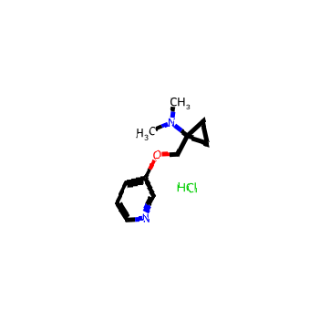 CN(C)C1(COc2cccnc2)CC1.Cl